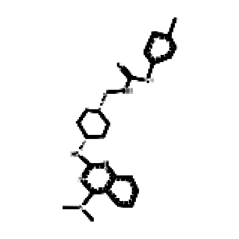 Cc1ccc(NC(=O)NC[C@H]2CC[C@@H](Nc3nc(N(C)C)c4ccccc4n3)CC2)cc1